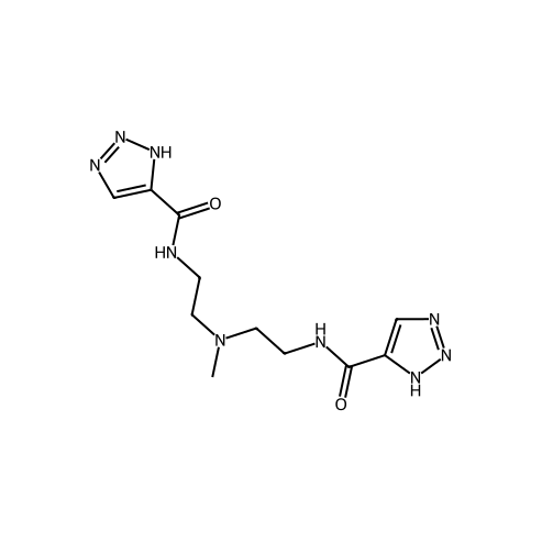 CN(CCNC(=O)c1cnn[nH]1)CCNC(=O)c1cnn[nH]1